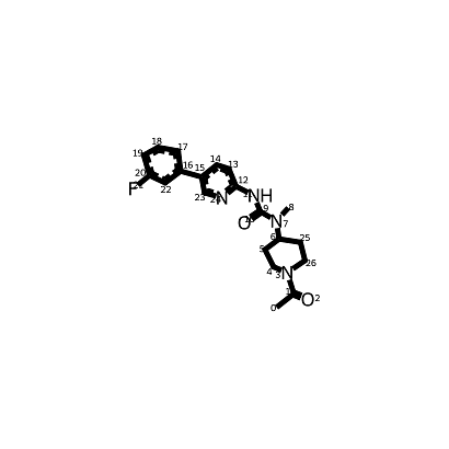 CC(=O)N1CCC(N(C)C(=O)Nc2ccc(-c3cccc(F)c3)cn2)CC1